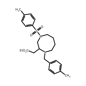 CCOC(=O)CC1CN(S(=O)(=O)c2ccc(C)cc2)CCCCN1Cc1ccc(C)cc1